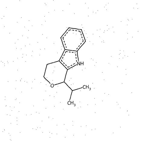 CC(C)C1OCCc2c1[nH]c1ccccc21